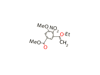 C=C(OCC)c1cc(C(=O)OC)cc(OC)c1[N+](=O)[O-]